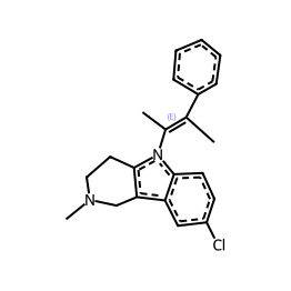 C/C(=C(/C)n1c2c(c3cc(Cl)ccc31)CN(C)CC2)c1ccccc1